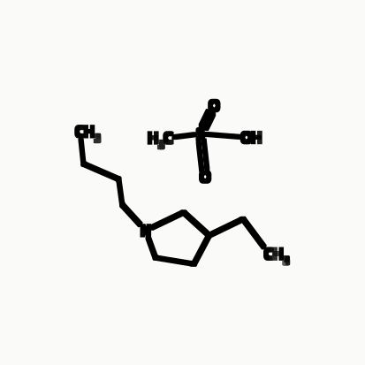 CCCCN1CCC(CC)C1.CS(=O)(=O)O